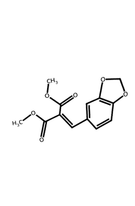 COC(=O)C(=Cc1ccc2c(c1)OCO2)C(=O)OC